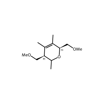 COC[C@H]1OC(C)[C@@H](COC)C(C)=C1C